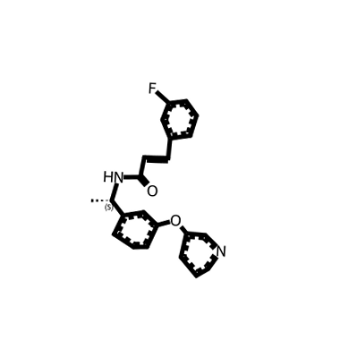 C[C@H](NC(=O)C=Cc1cccc(F)c1)c1cccc(Oc2cccnc2)c1